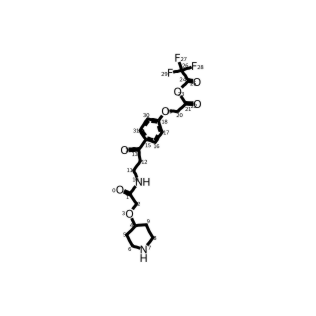 O=C(COC1CCNCC1)NCCC(=O)c1ccc(OCC(=O)OC(=O)C(F)(F)F)cc1